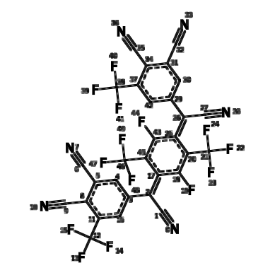 N#C/C(c1cc(C#N)c(C#N)c(C(F)(F)F)c1)=c1\c(F)c(C(F)(F)F)/c(=C(\C#N)c2cc(C#N)c(C#N)c(C(F)(F)F)c2)c(F)c1C(F)(F)F